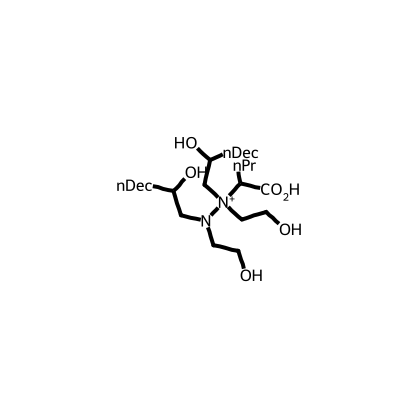 CCCCCCCCCCC(O)CN(CCO)[N+](CCO)(CC(O)CCCCCCCCCC)C(CCC)C(=O)O